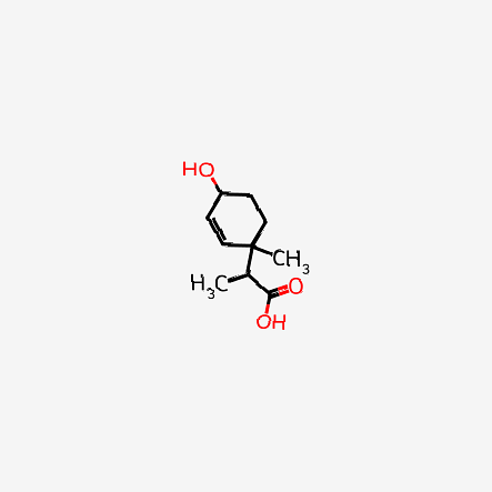 CC(C(=O)O)C1(C)C=CC(O)CC1